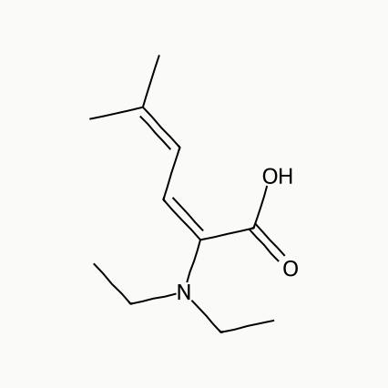 CCN(CC)C(=CC=C(C)C)C(=O)O